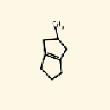 CC1CC2=C(CCC2)C1